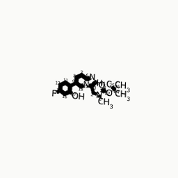 CN(Cc1cnc2ccc(-c3ccc(F)cc3O)cn12)C(=O)OC(C)(C)C